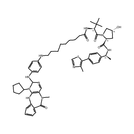 Cc1ncsc1-c1ccc([C@H](C)NC(=O)[C@@H]2C[C@@H](O)CN2C(=O)[C@@H](NC(=O)CCCCCCCCNc2ccc(NC3N=CC4=C(Nc5ccccc5C(=O)N4C)N3C3CCCC3)cc2)C(C)(C)C)cc1